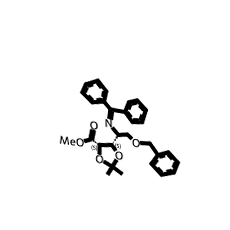 COC(=O)[C@H]1OC(C)(C)O[C@H]1C(COCc1ccccc1)N=C(c1ccccc1)c1ccccc1